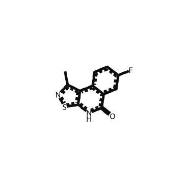 Cc1nsc2[nH]c(=O)c3cc(F)ccc3c12